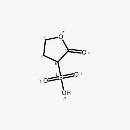 O=C1OCCC1S(=O)(=O)O